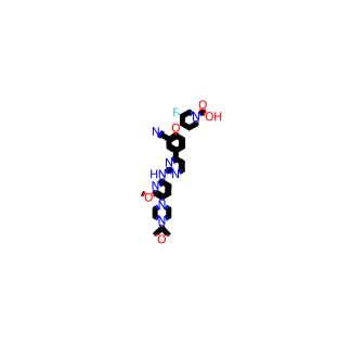 COc1nc(Nc2nccc(-c3ccc(O[C@H]4CCN(C(=O)O)C[C@H]4F)c(C#N)c3)n2)ccc1N1CCN(C2COC2)CC1